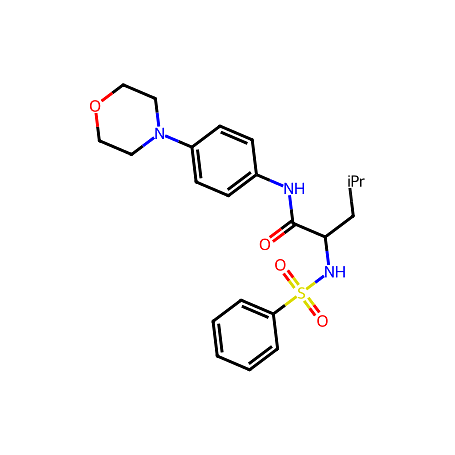 CC(C)CC(NS(=O)(=O)c1ccccc1)C(=O)Nc1ccc(N2CCOCC2)cc1